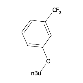 CCCCOc1cccc(C(F)(F)F)c1